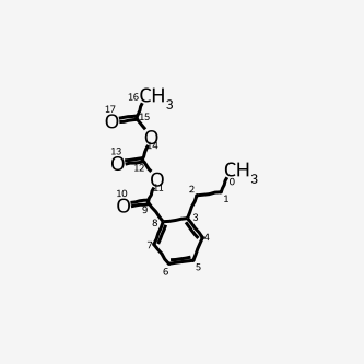 CCCc1ccccc1C(=O)OC(=O)OC(C)=O